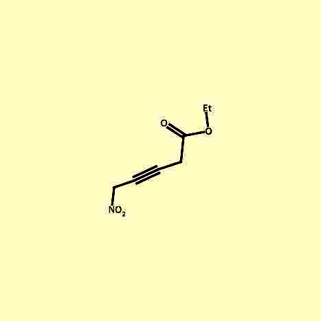 CCOC(=O)CC#CC[N+](=O)[O-]